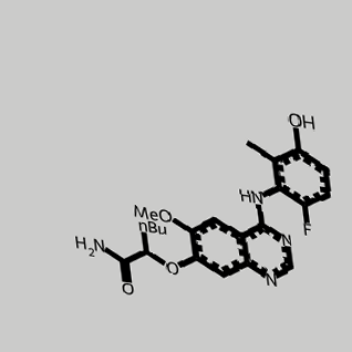 CCCCC(Oc1cc2ncnc(Nc3c(F)ccc(O)c3C)c2cc1OC)C(N)=O